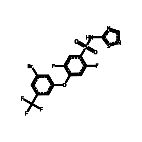 O=S(=O)(Nc1ncns1)c1cc(F)c(Oc2cc(Br)cc(C(F)(F)F)c2)cc1F